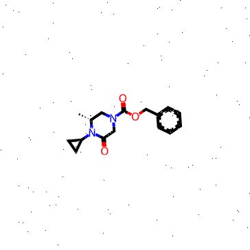 C[C@@H]1CN(C(=O)OCc2ccccc2)CC(=O)N1C1CC1